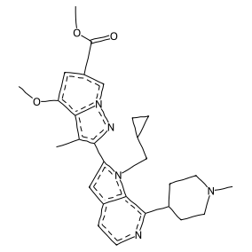 COC(=O)c1cc(OC)c2c(C)c(-c3cc4ccnc(C5CCN(C)CC5)c4n3CC3CC3)nn2c1